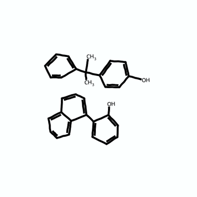 CC(C)(c1ccccc1)c1ccc(O)cc1.Oc1ccccc1-c1cccc2ccccc12